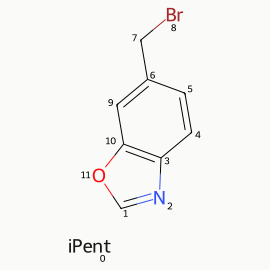 CCC[C@H](C)c1nc2ccc(CBr)cc2o1